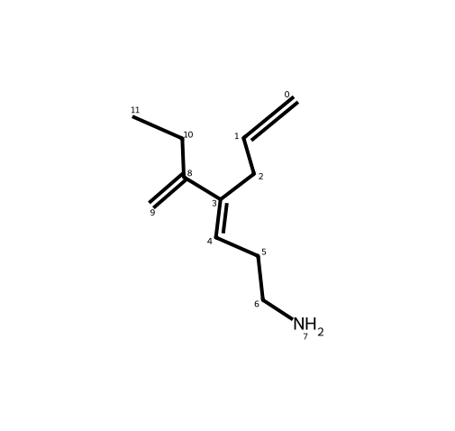 C=CC/C(=C\CCN)C(=C)CC